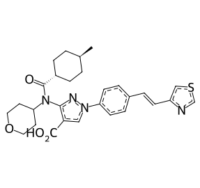 C[C@H]1CC[C@H](C(=O)N(c2nn(-c3ccc(/C=C/c4cscn4)cc3)cc2C(=O)O)C2CCOCC2)CC1